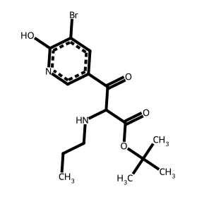 CCCNC(C(=O)OC(C)(C)C)C(=O)c1cnc(O)c(Br)c1